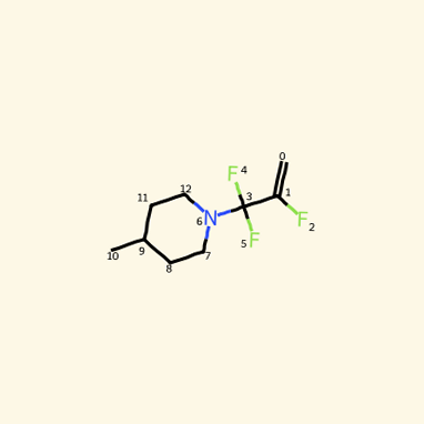 C=C(F)C(F)(F)N1CCC(C)CC1